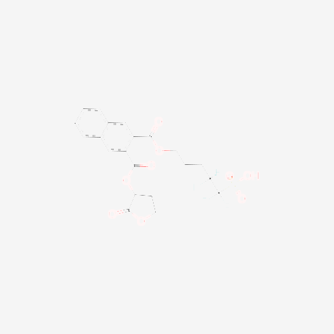 O=C(OCCCC(F)(F)C(F)(F)S(=O)(=O)O)c1cc2ccccc2cc1C(=O)OC1CCOC1=O